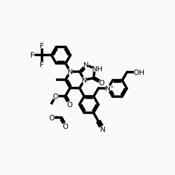 COC(=O)C1=C(C)N(c2cccc(C(F)(F)F)c2)c2n[nH]c(=O)n2C1c1ccc(C#N)cc1C[n+]1cccc(CO)c1.O=C[O-]